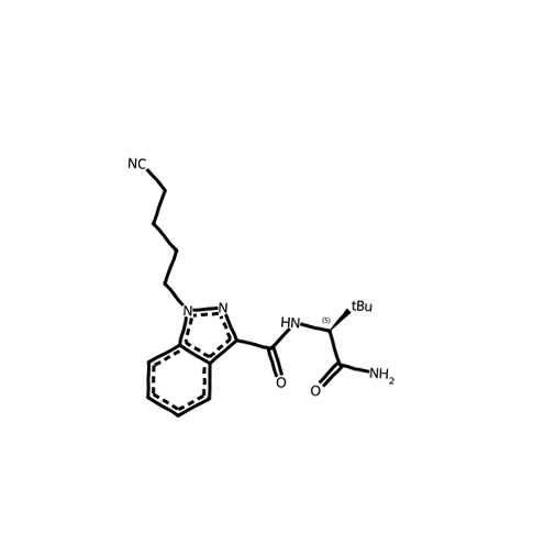 CC(C)(C)[C@H](NC(=O)c1nn(CCCCC#N)c2ccccc12)C(N)=O